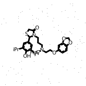 CC(C)c1cc(C2SCC(=O)N2CCCN(C)CCOc2ccc3c(c2)OCO3)cc(C(C)C)c1O